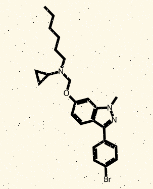 CCCCCCN(COc1ccc2c(-c3ccc(Br)cc3)nn(C)c2c1)C1CC1